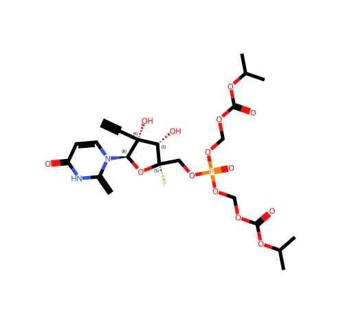 C#C[C@]1(O)[C@H](N2C=CC(=O)NC2=C)O[C@](F)(COP(=O)(OCOC(=O)OC(C)C)OCOC(=O)OC(C)C)[C@H]1O